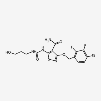 CCc1ccc(COc2nsc(NC(=O)NCCCO)c2C(N)=O)c(F)c1F